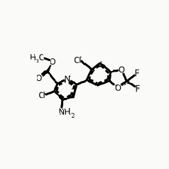 COC(=O)c1nc(-c2cc3c(cc2Cl)OC(F)(F)O3)cc(N)c1Cl